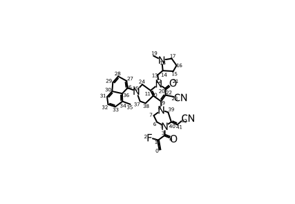 C=C(F)C(=O)N1CCN(c2c3c(n(CC4CCCN4C)c(=O)c2C#N)CN(c2cccc4cccc(C)c24)CC3)CC1=CC#N